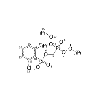 CC(C)OOP(=O)(COS(=O)(=O)c1c(Cl)cccc1C(C)C)OOC(C)C